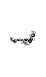 CC(C)(C)OC(=O)N(CCOCCN1CCC(N=[N+]=[N-])C1)CC(=O)Nc1cccc2c1CN(C1CCC(=O)NC1=O)C2=O